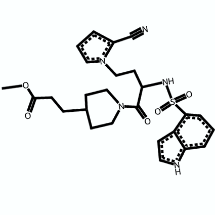 COC(=O)CCC1CCN(C(=O)C(CCn2cccc2C#N)NS(=O)(=O)c2cccc3[nH]ccc23)CC1